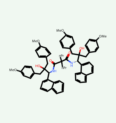 CCCC(CCC)(C(=O)N[C@@H](c1cccc2ccccc12)C(O)(Cc1ccc(OC)cc1)Cc1ccc(OC)cc1)C(=O)N[C@@H](c1cccc2ccccc12)C(O)(Cc1ccc(OC)cc1)Cc1ccc(OC)cc1